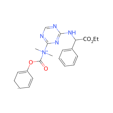 CCOC(=O)C(Nc1ncnc([N+](C)(C)C(=O)OC2=CC[CH]C=C2)n1)c1ccccc1